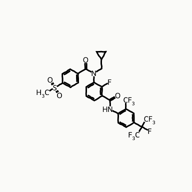 CS(=O)(=O)c1ccc(C(=O)N(CC2CC2)c2cccc(C(=O)Nc3ccc(C(F)(C(F)(F)F)C(F)(F)F)cc3C(F)(F)F)c2F)cc1